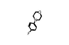 Fc1[c]cc(N2CCOCC2)cc1